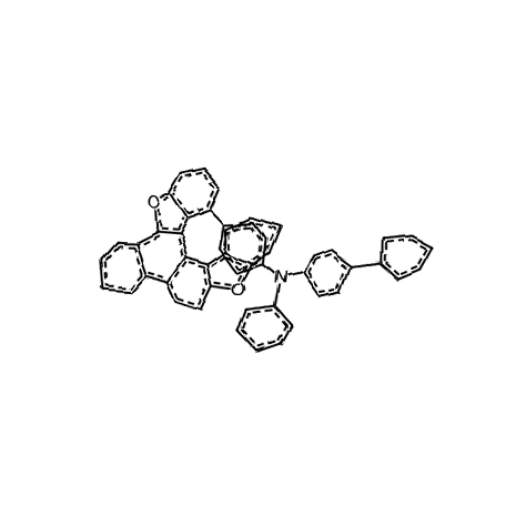 c1ccc(-c2ccc(N(c3ccccc3)c3ccc(-c4cccc5oc6c7ccccc7c7ccc8oc9ccccc9c8c7c6c45)cc3)cc2)cc1